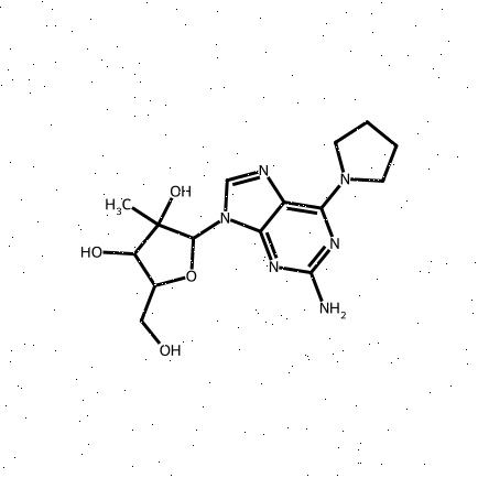 CC1(O)C(O)C(CO)OC1n1cnc2c(N3CCCC3)nc(N)nc21